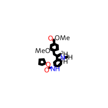 [2H]C([2H])([2H])n1cc(Cc2ccc(C(=O)OC)cc2OC)c2cc(NC(=O)OC3CCCC3)ccc21